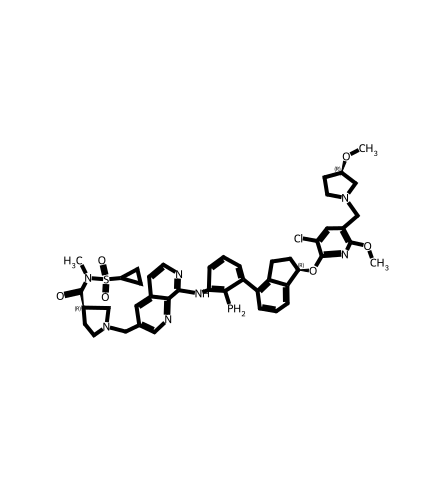 COc1nc(O[C@@H]2CCc3c(-c4cccc(Nc5nccc6cc(CN7CC[C@@H](C(=O)N(C)S(=O)(=O)C8CC8)C7)cnc56)c4P)cccc32)c(Cl)cc1CN1CC[C@@H](OC)C1